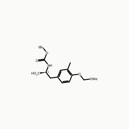 COCOc1ccc(C[C@H](NC(=O)OC(C)(C)C)C(=O)O)cc1C